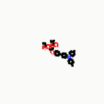 C=CC(=O)OCC(COC(=O)C(=C)C)Oc1ccc(-c2ccc(N(c3ccc(C)cc3)c3ccc(C)cc3)cc2)cc1